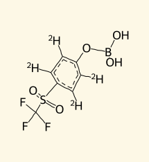 [2H]c1c([2H])c(S(=O)(=O)C(F)(F)F)c([2H])c([2H])c1OB(O)O